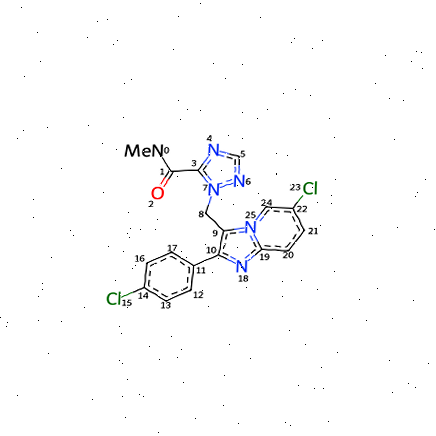 CNC(=O)c1ncnn1Cc1c(-c2ccc(Cl)cc2)nc2ccc(Cl)cn12